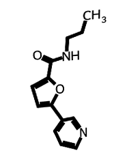 CCCNC(=O)c1ccc(-c2cccnc2)o1